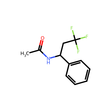 CC(=O)NC(CC(F)(F)F)c1ccccc1